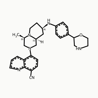 C[C@@H]1CN(c2ccc(C#N)c3ncccc23)C[C@@H]2C[C@H](Nc3ccc(C4CNCCO4)cc3)CCN21